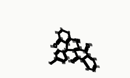 Cc1ccc(C2C3=C(CCCC3=O)NC3=C2C(=O)c2ccccc2C3=O)cc1